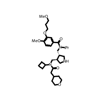 COCCCOc1cc(C(=O)N(C[C@@H]2CNC[C@H]2CN(C(=O)CC2CCOCC2)C2CCC2)C(C)C)ccc1OC